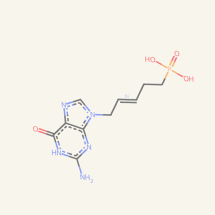 Nc1nc2c(ncn2C/C=C/CCP(=O)(O)O)c(=O)[nH]1